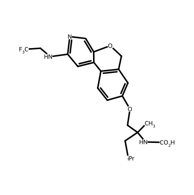 CC(C)CC(C)(COc1ccc2c(c1)COc1cnc(NCC(F)(F)F)cc1-2)NC(=O)O